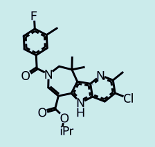 Cc1cc(C(=O)N2C=C(C(=O)OC(C)C)c3[nH]c4cc(Cl)c(C)nc4c3C(C)(C)C2)ccc1F